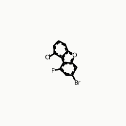 Fc1cc(Br)cc2oc3cccc(Cl)c3c12